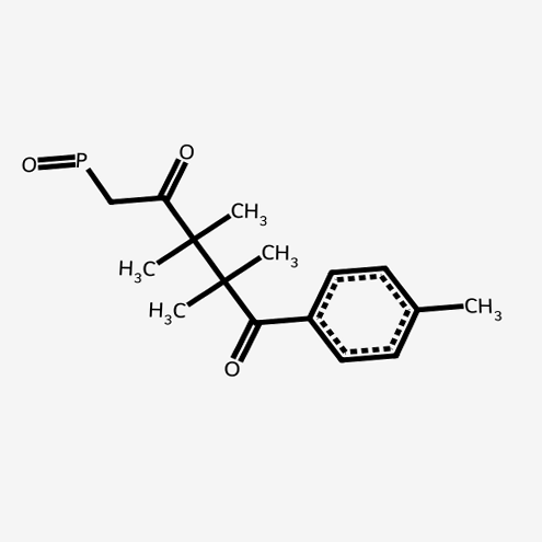 Cc1ccc(C(=O)C(C)(C)C(C)(C)C(=O)CP=O)cc1